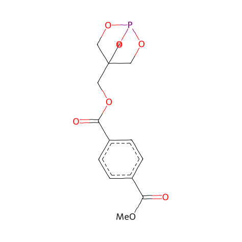 COC(=O)c1ccc(C(=O)OCC23COP(OC2)OC3)cc1